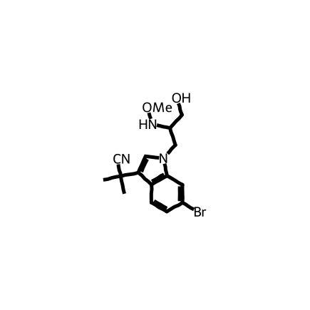 CONC(CO)Cn1cc(C(C)(C)C#N)c2ccc(Br)cc21